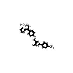 Cc1nc(-c2ccc(C(F)(F)F)cc2)sc1COc1ccc(C(CC(=O)O)c2ncco2)cc1